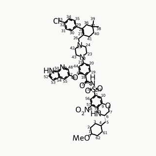 COC1CCC(C[C@H]2COc3cc(S(=O)(=O)NC(=O)c4ccc(N5CCN(CC6=C(c7ccc(Cl)cc7)CC(C)(C)CC6)CC5)cc4Oc4cnc5[nH]ccc5c4)cc([N+](=O)[O-])c3N2)CC1